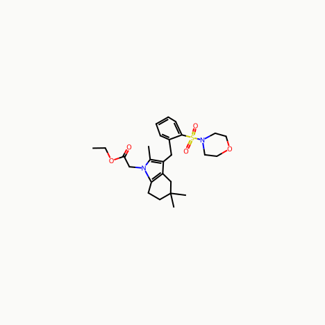 CCOC(=O)Cn1c(C)c(Cc2ccccc2S(=O)(=O)N2CCOCC2)c2c1CCC(C)(C)C2